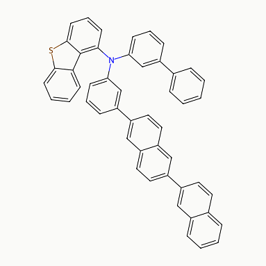 c1ccc(-c2cccc(N(c3cccc(-c4ccc5cc(-c6ccc7ccccc7c6)ccc5c4)c3)c3cccc4sc5ccccc5c34)c2)cc1